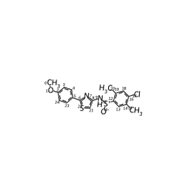 COc1ccc(-c2nc(N[S+]([O-])c3cc(C)c(Cl)cc3C)cs2)cc1